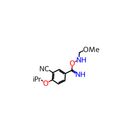 COCNOC(=N)c1ccc(OC(C)C)c(C#N)c1